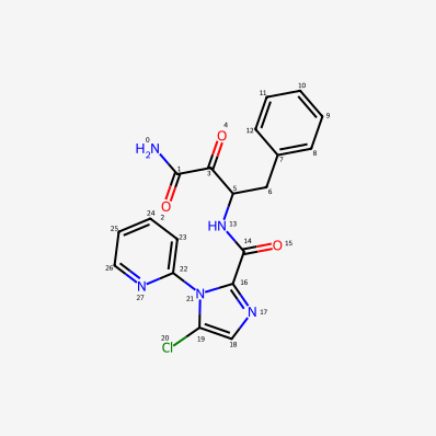 NC(=O)C(=O)C(Cc1ccccc1)NC(=O)c1ncc(Cl)n1-c1ccccn1